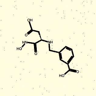 O=C(O)C[C@@H](NCc1cccc(C(=O)O)c1)C(=O)NO